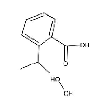 CC(C)c1ccccc1C(=O)O.OO